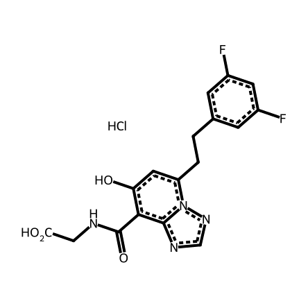 Cl.O=C(O)CNC(=O)c1c(O)cc(CCc2cc(F)cc(F)c2)n2ncnc12